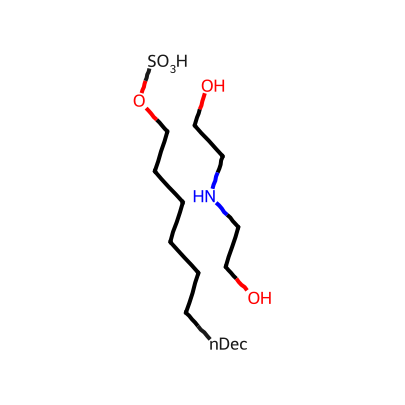 CCCCCCCCCCCCCCCCOS(=O)(=O)O.OCCNCCO